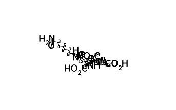 NC(=O)CCCCCCCNC(=O)CC[C@H](NC(=O)N[C@@H](CCC(=O)O)C(=O)O)C(=O)O